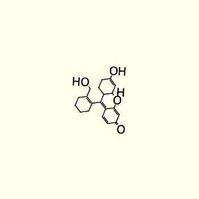 O=C1C=CC2=C(C3=C(CO)CCCC3)C3CCC(O)=C[C@H]3OC2=C1